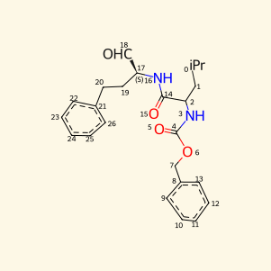 CC(C)CC(NC(=O)OCc1ccccc1)C(=O)N[C@H](C=O)CCc1ccccc1